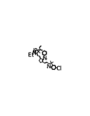 C=CC(=C)C(C)(C)/C(=C\C=C1/CCC(/C=C/C2N(C)c3ccc(Cl)cc3C2(C)C)=C1N(C)c1ccccc1)N(CC)C(C)C